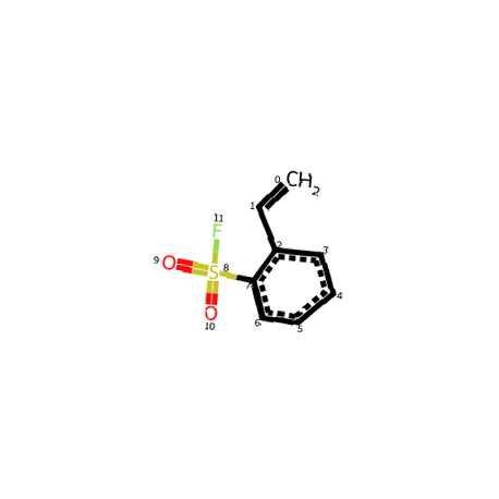 C=Cc1ccccc1S(=O)(=O)F